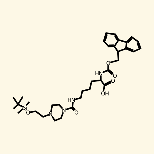 CC(C)(C)[Si](C)(C)OCCN1CCN(C(=O)NCCCCC(NC(=O)OCC2c3ccccc3-c3ccccc32)C(=O)O)CC1